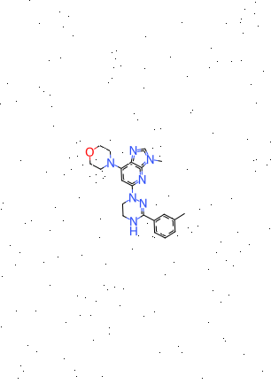 Cc1cccc(C2=NN(c3cc(N4CCOCC4)c4ncn(C)c4n3)CCN2)c1